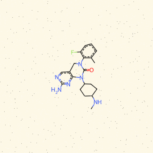 CNC1CCC(N2C(=O)N(c3c(C)cccc3F)Cc3cnc(N)nc32)CC1